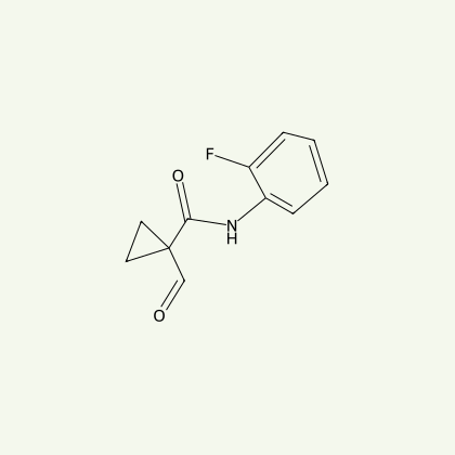 O=CC1(C(=O)Nc2ccccc2F)CC1